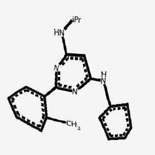 Cc1ccccc1-c1nc(Nc2ccccc2)cc(NC(C)C)n1